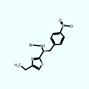 CCc1csc([C@H](Cc2ccc([N+](=O)[O-])cc2)NBr)n1